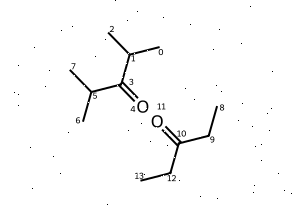 CC(C)C(=O)C(C)C.CCC(=O)CC